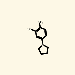 Cc1ccc(N2CCCC2)cc1C(F)(F)F